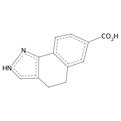 O=C(O)c1ccc2c(c1)CCc1c[nH]nc1-2